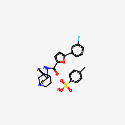 Cc1ccc(S(=O)(=O)O)cc1.O=C(N[C@H]1CN2CCC1CC2)c1ccc(-c2cccc(F)c2)o1